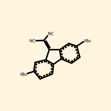 [C-]#[N+]C(C#N)=C1c2cc(C(C)(C)C)ccc2-c2ccc(C(C)(C)C)cc21